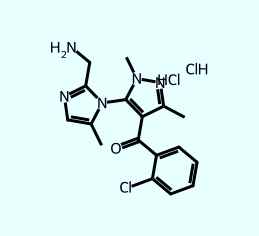 Cc1nn(C)c(-n2c(C)cnc2CN)c1C(=O)c1ccccc1Cl.Cl.Cl